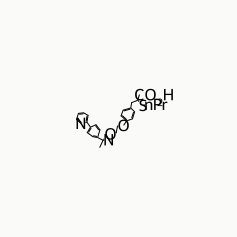 CCCSC(Cc1ccc(OCCON=C(C)c2ccc(-c3ccccn3)cc2)cc1)C(=O)O